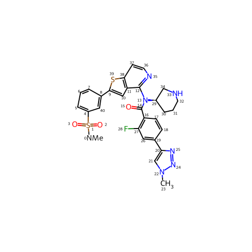 CNS(=O)(=O)c1cccc(-c2cc3c(N(C(=O)c4ccc(-c5cn(C)nn5)cc4F)[C@@H]4CCCNC4)nccc3s2)c1